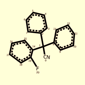 N#CC(c1ccccc1)(c1ccccc1)c1ccccc1F